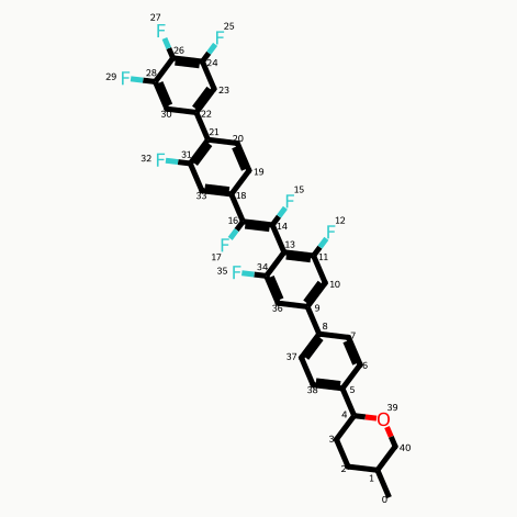 CC1CCC(c2ccc(-c3cc(F)c(/C(F)=C(\F)c4ccc(-c5cc(F)c(F)c(F)c5)c(F)c4)c(F)c3)cc2)OC1